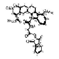 CCC1CN2CCc3c(n(C(=O)NCC(=O)ON4C(=O)C5C6C=CC(CC6)C5C4=O)c4cccc(OC)c34)C2CC1/C(=C\OC)C(=O)OC